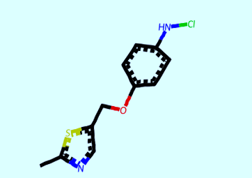 Cc1ncc(COc2ccc(NCl)cc2)s1